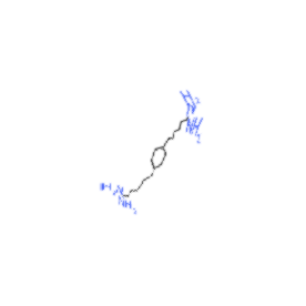 NC(N)CCCCCC1CCC(CCCCCC(N)N)CC1